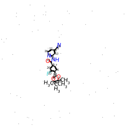 CC1(C)OB(c2ccc(C(=O)Nc3cc(C#N)ccn3)cc2F)OC1(C)C